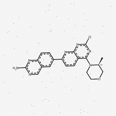 C[C@H]1COCCN1c1nc(Cl)nc2nc(-c3ccc4nc(N)ncc4c3)ccc12